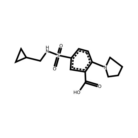 O=C(O)c1cc(S(=O)(=O)NCC2CC2)ccc1N1CCCC1